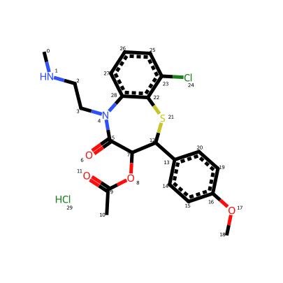 CNCCN1C(=O)C(OC(C)=O)C(c2ccc(OC)cc2)Sc2c(Cl)cccc21.Cl